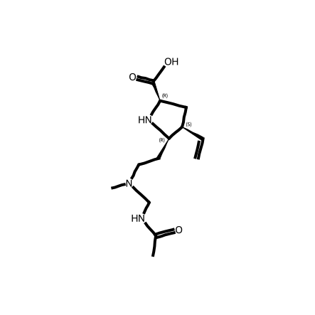 C=C[C@@H]1C[C@H](C(=O)O)N[C@@H]1CCN(C)CNC(C)=O